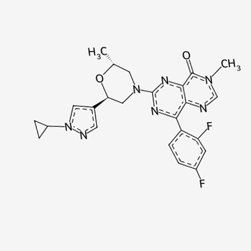 C[C@@H]1CN(c2nc(-c3ccc(F)cc3F)c3ncn(C)c(=O)c3n2)C[C@@H](c2cnn(C3CC3)c2)O1